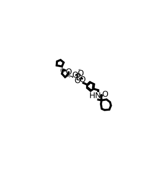 COP(=O)(OCc1ccc(CNC(=O)C2(C)CCCCCCC2)cc1)OC[C@@H]1CC[C@H](C2CCCC2)O1